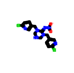 O=[N+]([O-])N=C1N(Cc2ccc(Cl)nc2)CNCN1Cc1ccc(Cl)nc1